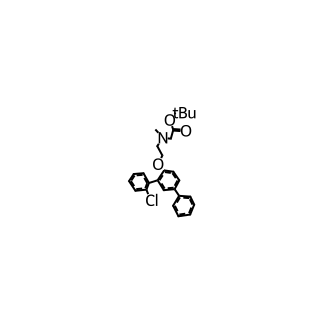 CN(CCOc1ccc(-c2ccccc2)cc1-c1ccccc1Cl)CC(=O)OC(C)(C)C